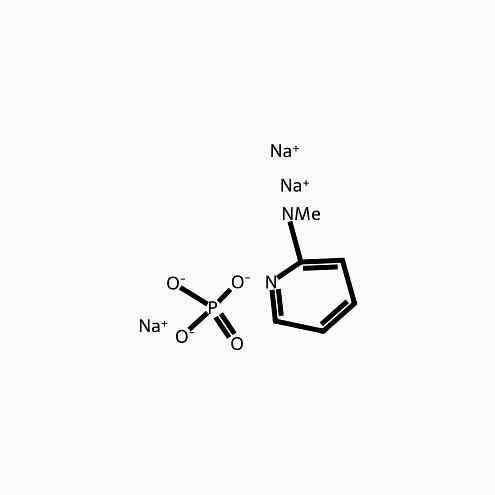 CNc1ccccn1.O=P([O-])([O-])[O-].[Na+].[Na+].[Na+]